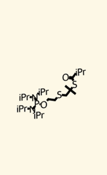 CC(C)C(=O)SC(C)(C)CSCCOP(N(C(C)C)C(C)C)N(C(C)C)C(C)C